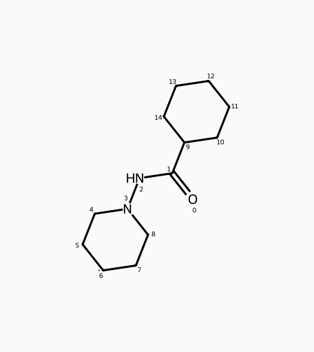 O=C(NN1CC[CH]CC1)C1CCCCC1